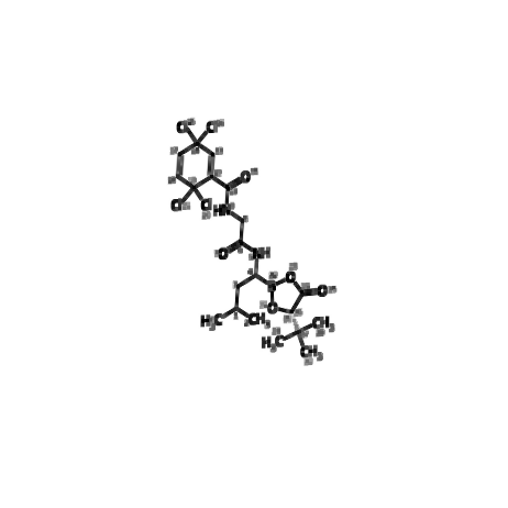 CC(C)CC(NC(=O)CNC(=O)C1=CC(Cl)(Cl)C=CC1(Cl)Cl)B1OC(=O)[C@H](C(C)(C)C)O1